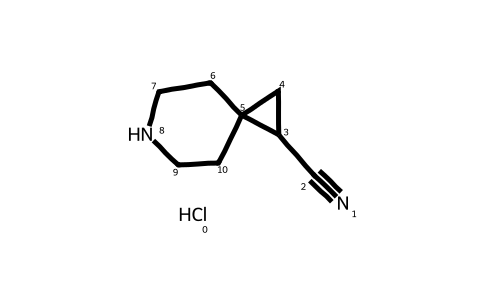 Cl.N#CC1CC12CCNCC2